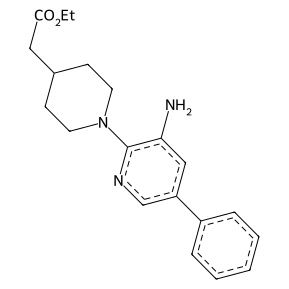 CCOC(=O)CC1CCN(c2ncc(-c3ccccc3)cc2N)CC1